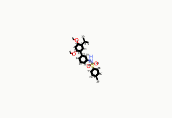 COc1cc(OC)c(C(C)C)cc1-c1cccc(NS(=O)(=O)c2ccc(C)cc2)c1